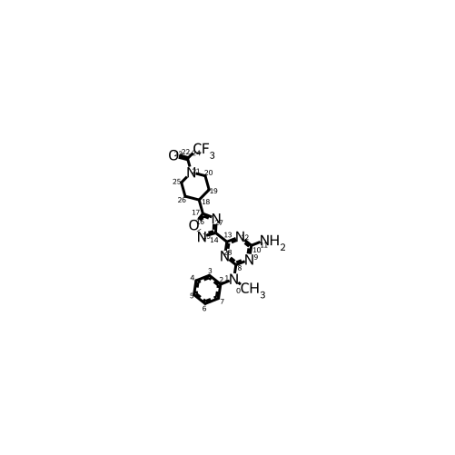 CN(c1ccccc1)c1nc(N)nc(-c2noc(C3CCN(C(=O)C(F)(F)F)CC3)n2)n1